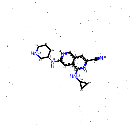 N#Cc1cc2cnc(N[C@H]3CCCNC3)cc2c(NC2CC2)n1